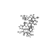 CC[C@@H](C)[C@H]([C@H](CC(=O)N1CCC[C@@H]1[C@@H](OC)[C@H](C)C(=O)N[C@@H](C)[C@H](O)c1ccccc1)OC)N(C)C(=O)C(NC(=O)C(C(C)C)N(C)C(=O)CCC[SH](C)(C)=O)C(C)C